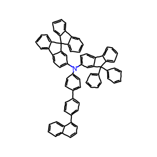 c1ccc(C2(c3ccccc3)c3ccccc3-c3ccc(N(c4ccc(-c5ccc(-c6cccc7ccccc67)cc5)cc4)c4ccc5c(c4)C4(c6ccccc6-c6ccccc64)c4ccccc4-5)cc32)cc1